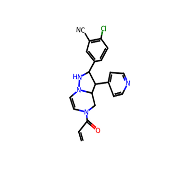 C=CC(=O)N1C=CN2NC(c3ccc(Cl)c(C#N)c3)C(c3ccncc3)C2C1